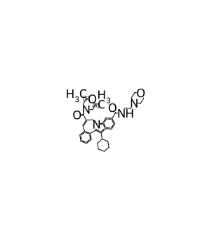 C[C@@H]1CN(C(=O)C2=Cc3ccccc3-c3c(C4CCCCC4)c4ccc(C(=O)NCCN5CCOCC5)cc4n3C2)C[C@H](C)O1